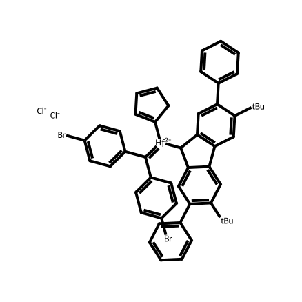 CC(C)(C)c1cc2c(cc1-c1ccccc1)[CH]([Hf+2]([C]1=CC=CC1)=[C](c1ccc(Br)cc1)c1ccc(Br)cc1)c1cc(-c3ccccc3)c(C(C)(C)C)cc1-2.[Cl-].[Cl-]